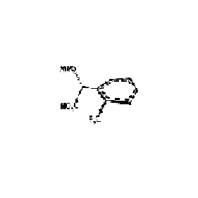 CO[C@@H](C(=O)O)c1ccccc1C(F)(F)F